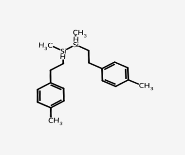 Cc1ccc(CC[SiH](C)[SiH](C)CCc2ccc(C)cc2)cc1